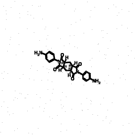 Nc1ccc(N2C(=O)[C@H]3C[C@@H]4C(=O)N(c5ccc(N)cc5)C(=O)[C@@H]4C[C@H]3C2=O)cc1